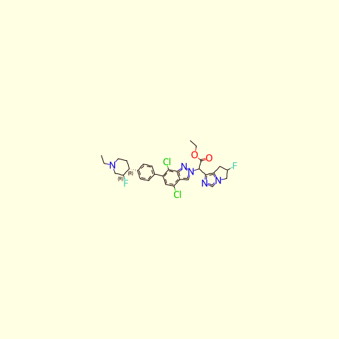 CCOC(=O)C(c1ncn2c1CC(F)C2)n1cc2c(Cl)cc(-c3ccc([C@H]4CCN(CC)C[C@@H]4F)cc3)c(Cl)c2n1